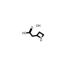 Cl.O=C(O)CC1CCN1